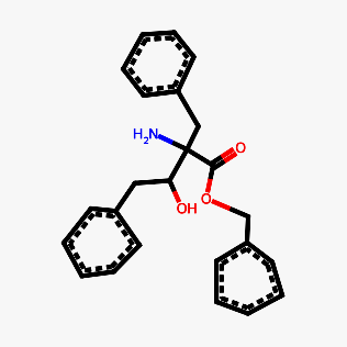 NC(Cc1ccccc1)(C(=O)OCc1ccccc1)C(O)Cc1ccccc1